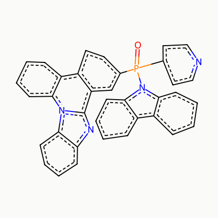 O=P(c1ccncc1)(c1ccc2c3ccccc3n3c4ccccc4nc3c2c1)n1c2ccccc2c2ccccc21